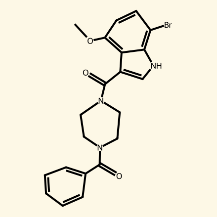 COc1ccc(Br)c2[nH]cc(C(=O)N3CCN(C(=O)c4ccccc4)CC3)c12